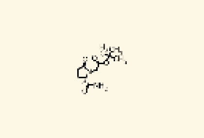 CC(C)(C)OC(=O)CN1C(=O)CC[C@H]1C(N)=O